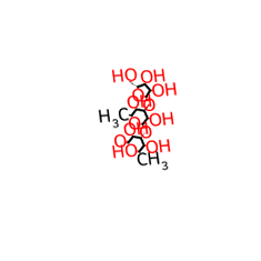 C[C@H](O)[C@H](O)[C@@H](O[C@@H]1O[C@@H](C)[C@H](O)[C@@H](O[C@@H]2O[C@H](CO)[C@@H](O)[C@H]2O)[C@H]1O)[C@@H](O)C=O